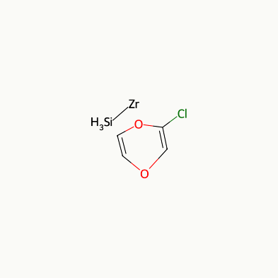 ClC1=COC=CO1.[SiH3][Zr]